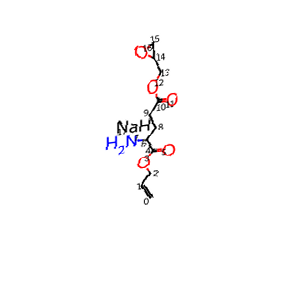 C=CCOC(=O)[C@@H](N)CCC(=O)OCC1CO1.[NaH]